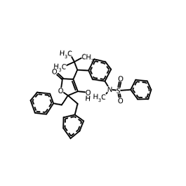 CN(c1cccc(C(C2=C(O)C(Cc3ccccc3)(Cc3ccccc3)OC2=O)C(C)(C)C)c1)S(=O)(=O)c1ccccc1